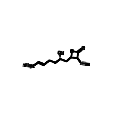 CCCCCCC/C=C/CC[C@H](O)CC1OC(=O)C1CCCCCC